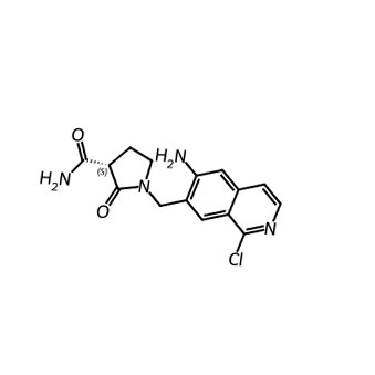 NC(=O)[C@@H]1CCN(Cc2cc3c(Cl)nccc3cc2N)C1=O